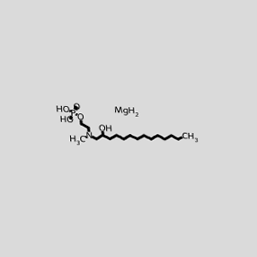 CCCCCCCCCCCCC(O)CN(C)CCOP(=O)(O)O.[MgH2]